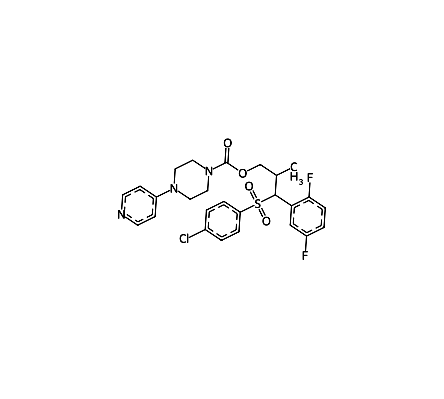 CC(COC(=O)N1CCN(c2ccncc2)CC1)C(c1cc(F)ccc1F)S(=O)(=O)c1ccc(Cl)cc1